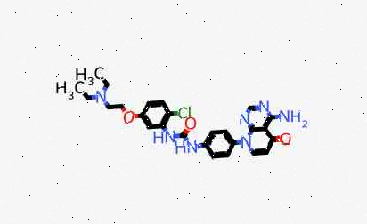 CCN(CC)CCOc1ccc(Cl)c(NC(=O)Nc2ccc(-n3ccc(=O)c4c(N)ncnc43)cc2)c1